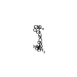 CS(=O)(=O)NC(=O)c1ccc2cc(N3CCC4(C=C(c5c(-c6c(Cl)cccc6Cl)noc5C5CC5)C4)CC3)ccc2n1